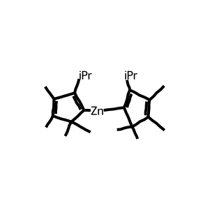 CC1=C(C)C(C)(C)[C]([Zn][C]2=C(C(C)C)C(C)=C(C)C2(C)C)=C1C(C)C